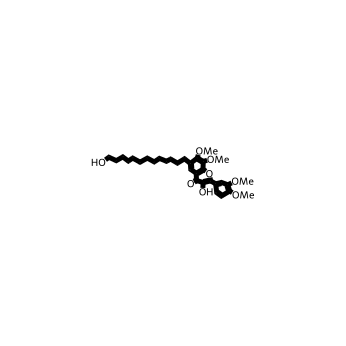 COc1ccc(-c2oc3c(OC)c(OC)c(CCCCCCCCCCCCCO)cc3c(=O)c2O)cc1OC